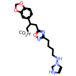 O=C(O)CC(Cc1nc(CCCCNN2C=CNC2)no1)c1ccc2c(c1)OCO2